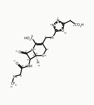 O=C(O)Cc1nnc(SCC2=C(C(=O)O)N3C(=O)C(NC(=O)CSC(F)(F)F)[C@@H]3SC2)o1